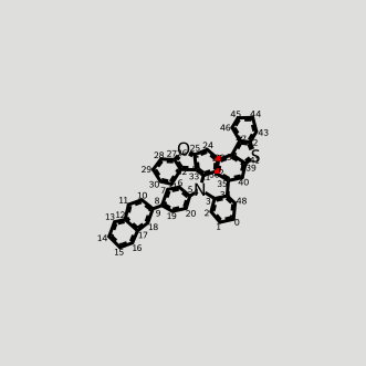 c1ccc(N(c2ccc(-c3ccc4ccccc4c3)cc2)c2cccc3oc4ccccc4c23)c(-c2ccc3c(c2)sc2ccccc23)c1